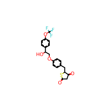 O=C1CC(=O)C(Cc2ccc(OCC(O)c3ccc(OC(F)(F)F)cc3)cc2)S1